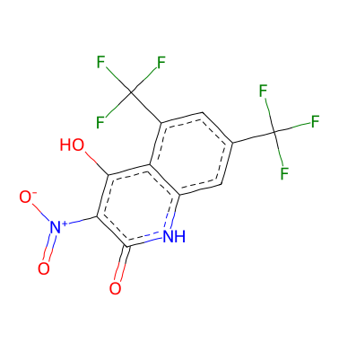 O=c1[nH]c2cc(C(F)(F)F)cc(C(F)(F)F)c2c(O)c1[N+](=O)[O-]